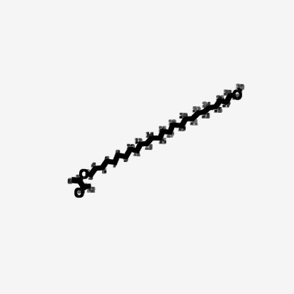 C=C(OCCCCCCCCCCCCCCCCCCCCCCCCCCOC)C(C)=O